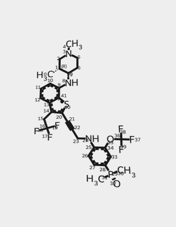 C[C@@H]1CN(C)CC[C@H]1Nc1cccc2c(CC(F)(F)F)c(C#CCNc3ccc(P(C)(C)=O)cc3OC(F)(F)F)sc12